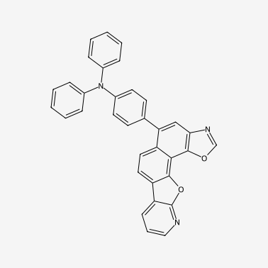 c1ccc(N(c2ccccc2)c2ccc(-c3cc4ncoc4c4c3ccc3c5cccnc5oc34)cc2)cc1